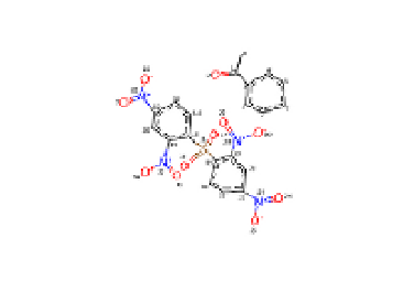 CC(=O)c1ccccc1.O=[N+]([O-])c1ccc(S(=O)(=O)c2ccc([N+](=O)[O-])cc2[N+](=O)[O-])c([N+](=O)[O-])c1